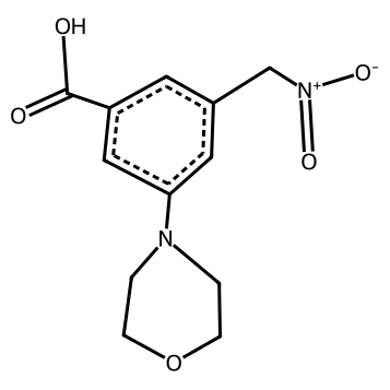 O=C(O)c1cc(C[N+](=O)[O-])cc(N2CCOCC2)c1